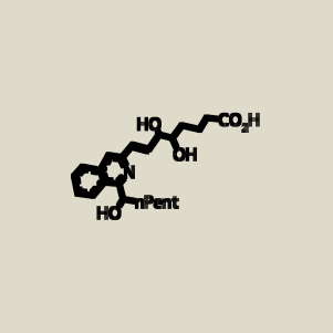 CCCCCC(O)c1nc(C=CC(O)C(O)CCCC(=O)O)cc2ccccc12